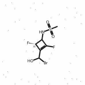 CS(=O)(=O)NC1C(F)=C(C(O)Br)[C@@H]1F